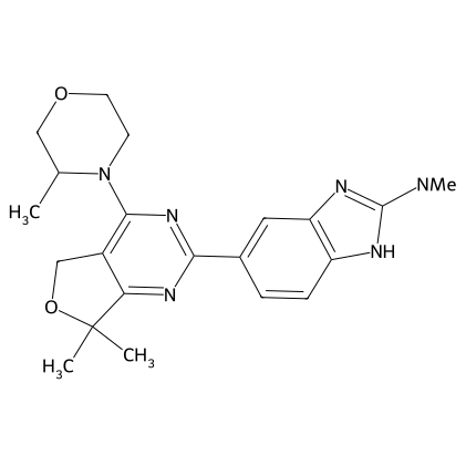 CNc1nc2cc(-c3nc(N4CCOCC4C)c4c(n3)C(C)(C)OC4)ccc2[nH]1